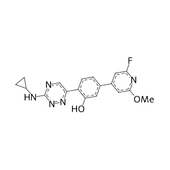 COc1cc(-c2ccc(-c3cnc(NC4CC4)nn3)c(O)c2)cc(F)n1